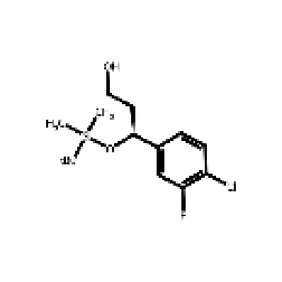 CC(C)(C)[Si](C)(C)O[C@@H](CCO)c1ccc(Cl)c(F)c1